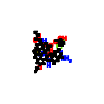 CCOc1ccc(F)c(C(Nc2ccc3c(N)nccc3c2)C(=O)N[C@H](CC(=O)O)c2cc(NC(=O)OC)ccc2SC(C)C)c1.O=C(O)C(F)(F)F